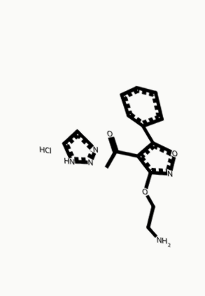 CC(=O)c1c(OCCN)noc1-c1ccccc1.Cl.c1c[nH]nn1